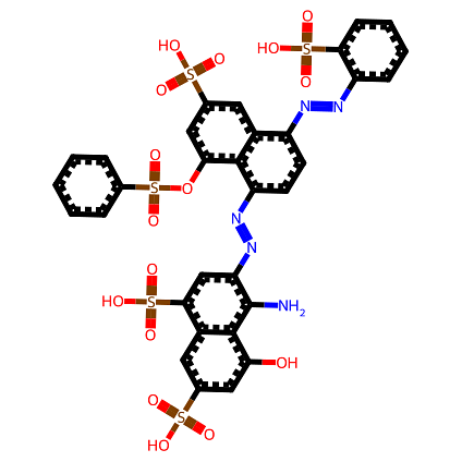 Nc1c(N=Nc2ccc(N=Nc3ccccc3S(=O)(=O)O)c3cc(S(=O)(=O)O)cc(OS(=O)(=O)c4ccccc4)c23)cc(S(=O)(=O)O)c2cc(S(=O)(=O)O)cc(O)c12